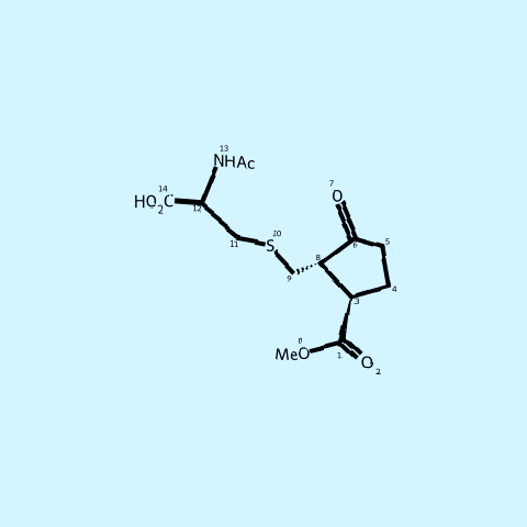 COC(=O)[C@@H]1CCC(=O)[C@H]1CSCC(NC(C)=O)C(=O)O